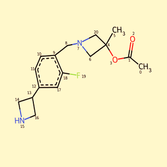 CC(=O)OC1(C)CN(Cc2ccc(C3CNC3)cc2F)C1